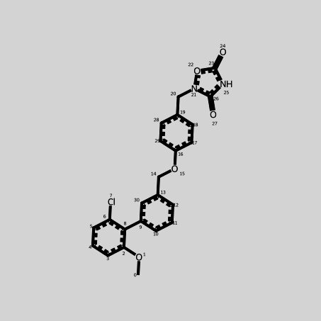 COc1cccc(Cl)c1-c1cccc(COc2ccc(Cn3oc(=O)[nH]c3=O)cc2)c1